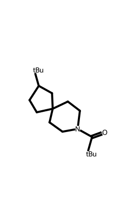 CC(C)(C)C(=O)N1CCC2(CCC(C(C)(C)C)C2)CC1